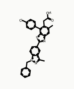 Cc1cc2nc(-c3ccc4c(c3)c(C)nn4Cc3ccccc3)sc2c(-c2ccc(Cl)cc2)c1CC(=O)O